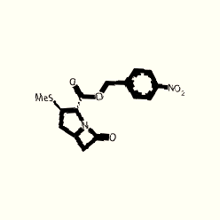 CS[C@@H]1CC2CC(=O)N2[C@H]1C(=O)OCc1ccc([N+](=O)[O-])cc1